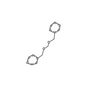 c1ccc(COCOCc2ccccc2)cc1